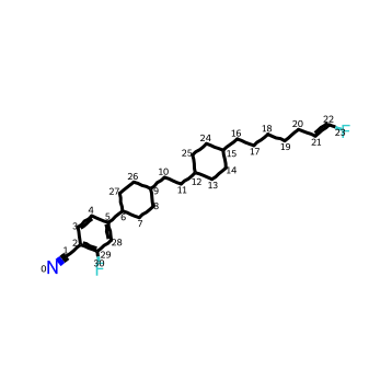 N#Cc1ccc(C2CCC(CCC3CCC(CCCCC/C=C/F)CC3)CC2)cc1F